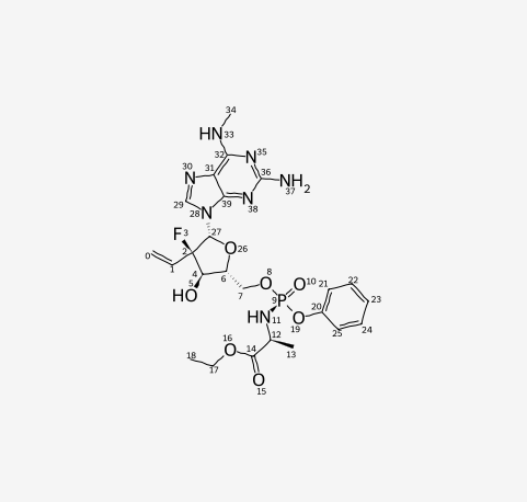 C=C[C@@]1(F)[C@H](O)[C@@H](CO[P@@](=O)(N[C@@H](C)C(=O)OCC)Oc2ccccc2)O[C@H]1n1cnc2c(NC)nc(N)nc21